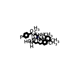 CC(NC(=O)c1ccc(F)cc1)/C(N)=C/N(N)C(CC(=O)NO)Cc1ccc2c(c1)C(C)(C)CCC2(C)C